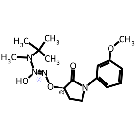 COc1cccc(N2CC[C@@H](O/N=[N+](\O)N(C)C(C)(C)C)C2=O)c1